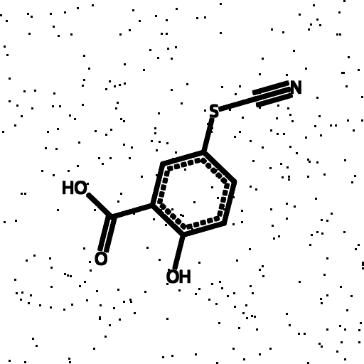 N#CSc1ccc(O)c(C(=O)O)c1